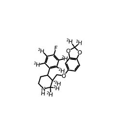 [2H]c1c([2H])c(C2CCNC([2H])([2H])[C@]2([2H])COc2ccc3c(c2)OC([2H])([2H])O3)c([2H])c([2H])c1F